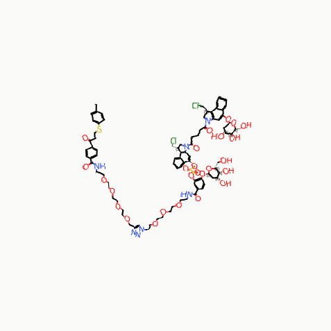 Cc1ccc(SCCC(=O)c2ccc(C(=O)NCCOCCOCCOCCOCc3cn(CCOCCOCCOCCNC(=O)c4ccc(O[C@H]5C[C@@H](O)[C@@H](O)[C@@H](CO)O5)c(OS(=O)(=O)Oc5cc6c(c7ccccc57)[C@H](CCl)CN6C(=O)CCCC(=O)N5C[C@@H](CCl)c6c5cc(OC5C[C@@H](O)[C@@H](O)[C@@H](CO)O5)c5ccccc65)c4)nn3)cc2)cc1